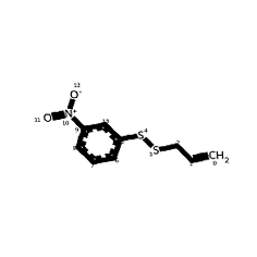 C=CCSSc1cccc([N+](=O)[O-])c1